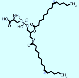 CCCC/C=C\CCCCCCCC(=O)OCC(COP(=O)(O)OCC(N)C(=O)O)OC(=O)CCCCCCC/C=C\CCCC